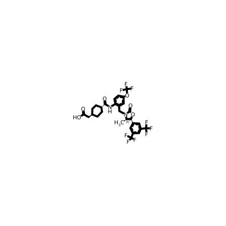 C[C@H]1[C@@H](c2cc(C(F)(F)F)cc(C(F)(F)F)c2)OC(=O)N1Cc1cc(OC(F)(F)F)ccc1NC(=O)[C@H]1CC[C@H](CC(=O)O)CC1